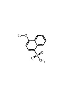 CCOc1ccc(S(C)(=O)=O)c2ccccc12